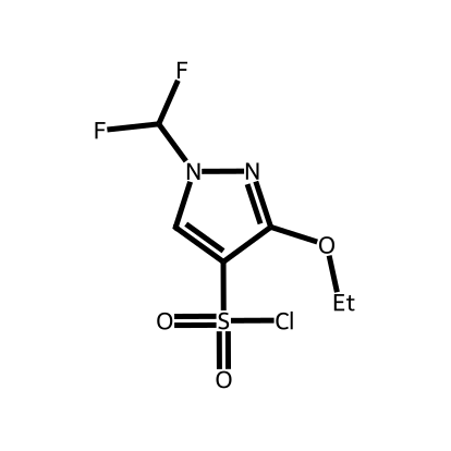 CCOc1nn(C(F)F)cc1S(=O)(=O)Cl